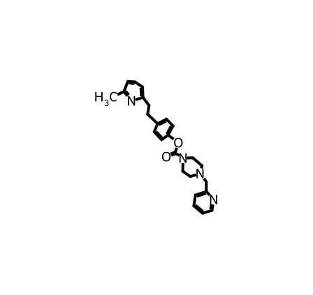 Cc1cccc(CCc2ccc(OC(=O)N3CCN(Cc4ccccn4)CC3)cc2)n1